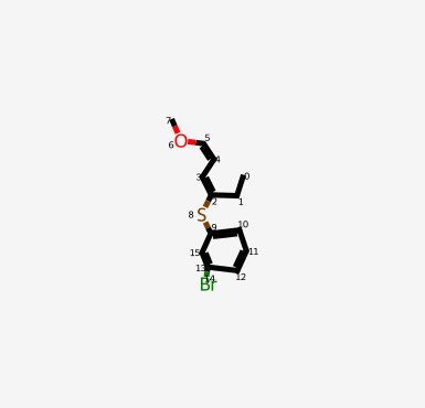 CC/C(=C\C=C/OC)Sc1cccc(Br)c1